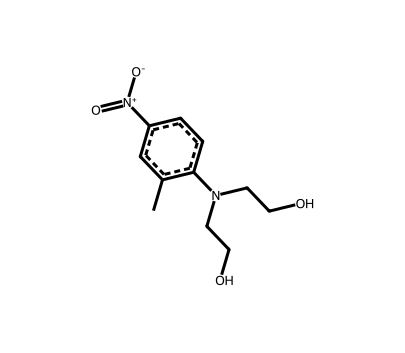 Cc1cc([N+](=O)[O-])ccc1N(CCO)CCO